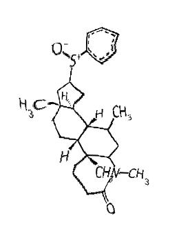 CC1CC2N(C)C(=O)CC[C@]2(C)[C@@H]2CC[C@]3(C)CC([S+]([O-])c4ccccc4)C[C@H]3[C@H]12